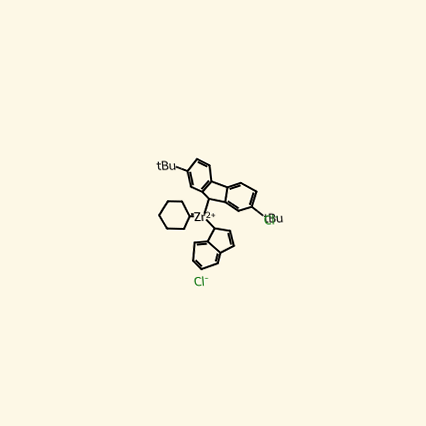 CC(C)(C)c1ccc2c(c1)[CH]([Zr+2](=[C]1CCCCC1)[CH]1C=Cc3ccccc31)c1cc(C(C)(C)C)ccc1-2.[Cl-].[Cl-]